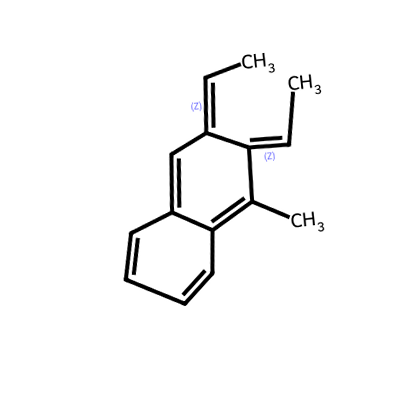 C/C=c1/cc2ccccc2c(C)/c1=C/C